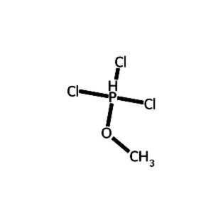 CO[PH](Cl)(Cl)Cl